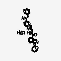 Cl.Cl.O=C(NCc1cn2cc(NCc3cccnc3)ccc2n1)c1cccc2c1cnn2C1CCCCO1